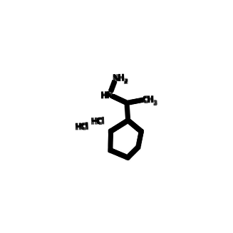 CC(NN)C1CCCCC1.Cl.Cl